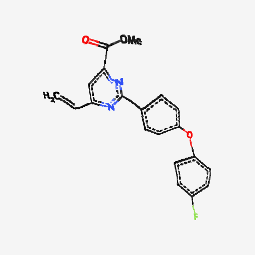 C=Cc1cc(C(=O)OC)nc(-c2ccc(Oc3ccc(F)cc3)cc2)n1